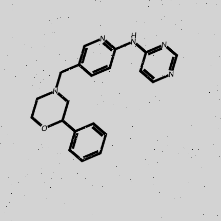 c1ccc(C2CN(Cc3ccc(Nc4ccncn4)nc3)CCO2)cc1